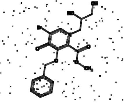 COC(=O)c1c(OCc2ccccc2)c(=O)c(Br)cn1CC(O)CO